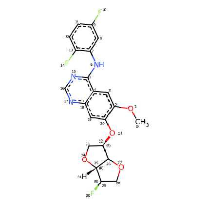 COc1cc2c(Nc3cc(F)ccc3F)ncnc2cc1O[C@@H]1CO[C@@H]2C1OC[C@H]2F